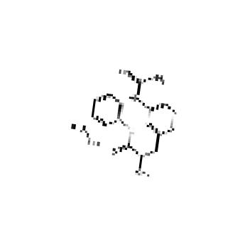 CC(Cc1cccc(NC(=N)N)c1)C(=O)Oc1ccccc1.O=C(O)O